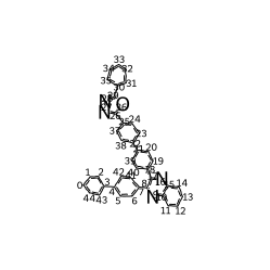 c1ccc(-c2ccc(-c3nc4ccccc4nc3-c3ccc(-c4ccc(-c5nnc(-c6ccccc6)o5)cc4)cc3)cc2)cc1